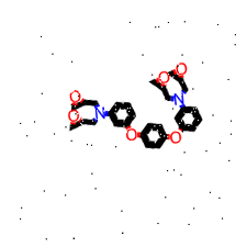 c1cc(Oc2ccc(Oc3cccc(N(CC4CO4)CC4CO4)c3)cc2)cc(N(CC2CO2)CC2CO2)c1